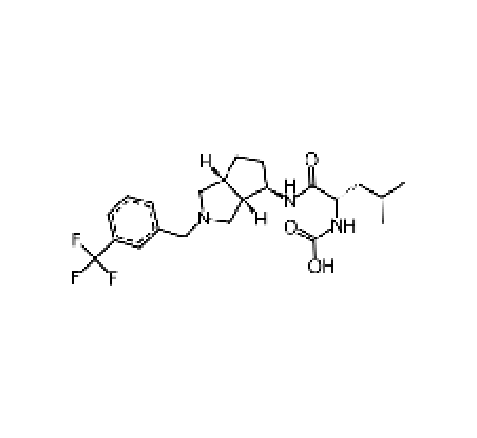 CC(C)C[C@H](NC(=O)O)C(=O)N[C@@H]1CC[C@H]2CN(Cc3cccc(C(F)(F)F)c3)C[C@H]21